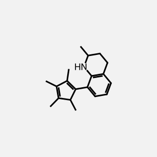 CC1=C(C)C(C)C(c2cccc3c2NC(C)CC3)=C1C